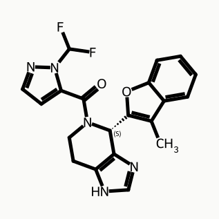 Cc1c([C@@H]2c3nc[nH]c3CCN2C(=O)c2ccnn2C(F)F)oc2ccccc12